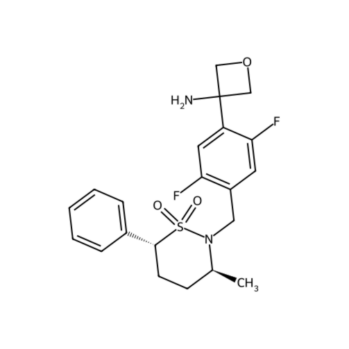 C[C@H]1CC[C@H](c2ccccc2)S(=O)(=O)N1Cc1cc(F)c(C2(N)COC2)cc1F